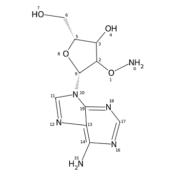 NOC1C(O)[C@@H](CO)O[C@H]1n1cnc2c(N)ncnc21